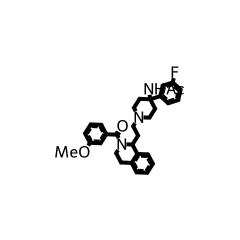 COc1cccc(C(=O)N2CCc3ccccc3C2CCN2CCC(NC(C)=O)(c3cccc(F)c3)CC2)c1